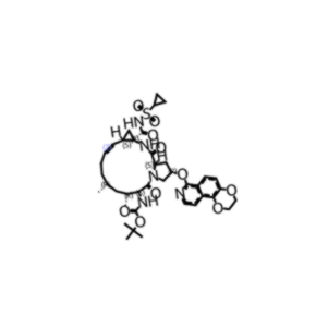 C[C@@H]1CC/C=C\[C@@H]2C[C@@]2(C(=O)NS(=O)(=O)C2CC2)NC(=O)[C@@H]2C[C@@H](Oc3nccc4c5c(ccc34)OCCO5)CN2C(=O)[C@@H](NC(=O)OC(C)(C)C)[C@H](C)C1